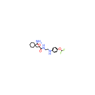 NC(=O)C1(C[CH]C(=O)NCCNc2ccc(OC(F)F)cc2)CCCCC1